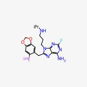 CC(C)NCCCn1c(Cc2cc3c(cc2[124I])OCO3)nc2c(N)nc(F)nc21